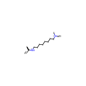 C=C(NCCCCCCCCN(C)C(C)C)C(C)C